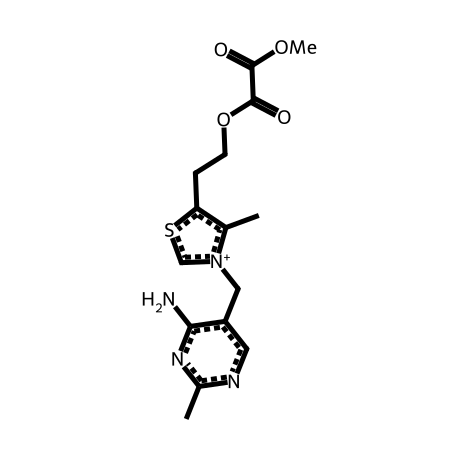 COC(=O)C(=O)OCCc1sc[n+](Cc2cnc(C)nc2N)c1C